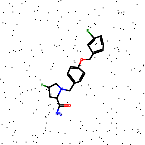 NC(=O)C1CC(F)CN1Cc1ccc(OCc2cccc(F)c2)cc1